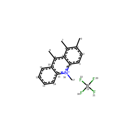 Cc1ccc2c(c1C)c(C)c1ccccc1[n+]2C.F[B-](F)(F)F